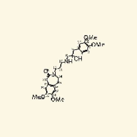 COc1ccc(CC(O)CNCCCN2CCc3cc(OC)c(OC)cc3CC2=O)cc1OC